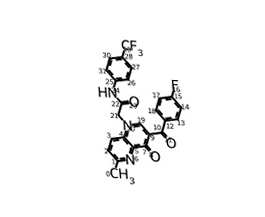 Cc1ccc2c(n1)c(=O)c(C(=O)c1ccc(F)cc1)cn2CC(=O)Nc1ccc(C(F)(F)F)cc1